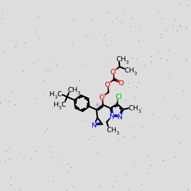 CCn1nc(C)c(Cl)c1/C(OCOC(=O)OC(C)C)=C(/c1ccc(C(C)(C)C)cc1)C1C=N1